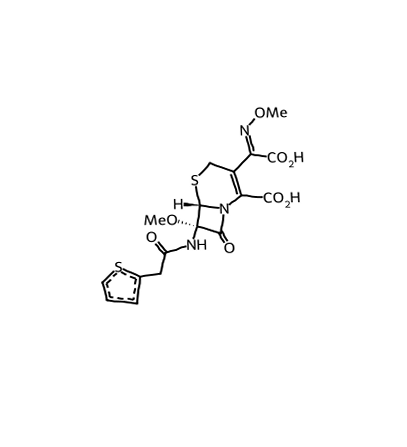 CON=C(C(=O)O)C1=C(C(=O)O)N2C(=O)[C@](NC(=O)Cc3cccs3)(OC)[C@@H]2SC1